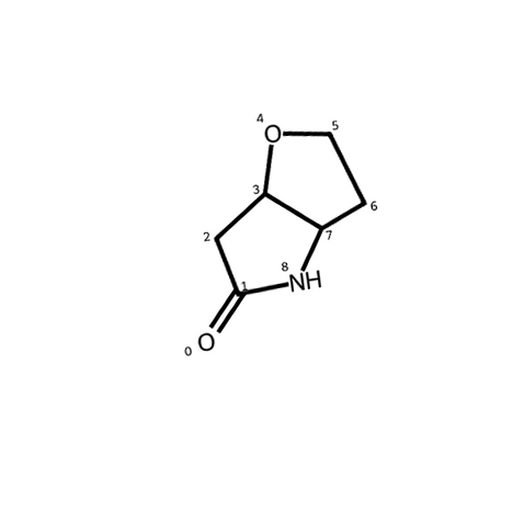 O=C1CC2OCCC2N1